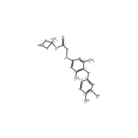 Cc1cc(OCC(=O)OC2(C(F)(F)F)CNC2)cc(C)c1Cc1ccc(O)c(C(C)C)c1